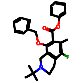 Cc1c(F)c2c(c(OCc3ccccc3)c1C(=O)Oc1ccccc1)CN(C(C)(C)C)CC2